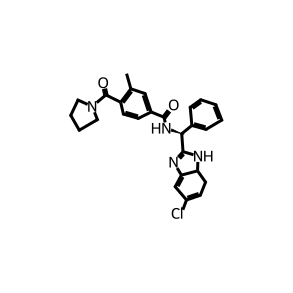 Cc1cc(C(=O)N[C@H](C2=NC3=CC(Cl)=CCC3N2)c2ccccc2)ccc1C(=O)N1CCCC1